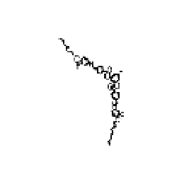 CCCCCCCCOc1ccc(/N=C/c2ccc(C(=O)Oc3cc(F)cc(OC(=O)c4ccc(/C=N/c5ccc(OCCCCCCCC)c(F)c5)cc4)c3)cc2)cc1F